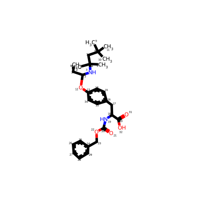 CCC(NC(C)(C)CC(C)(C)C)Oc1ccc(CC(NC(=O)OCc2ccccc2)C(=O)O)cc1